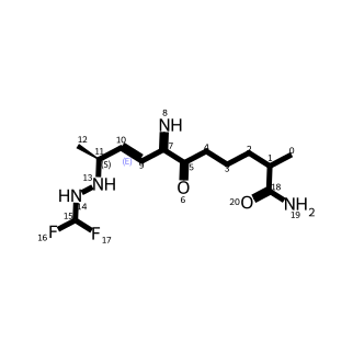 CC(CCCC(=O)C(=N)/C=C/[C@H](C)NNC(F)F)C(N)=O